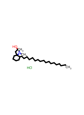 CCCCCCCCCCCCCCCCCCC1CCCCC1(CCO)N(C)C.Cl